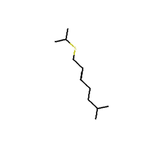 CC(C)CCCCCSC(C)C